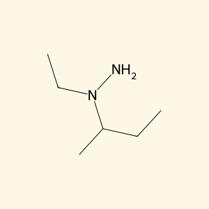 CCC(C)N(N)CC